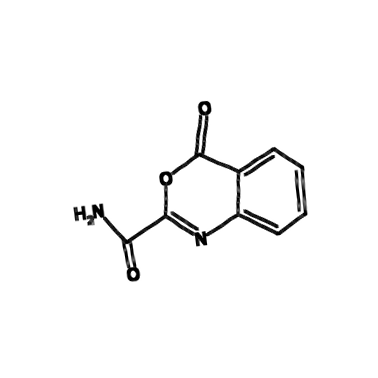 NC(=O)c1nc2ccccc2c(=O)o1